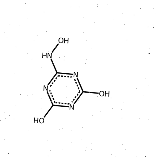 ONc1nc(O)nc(O)n1